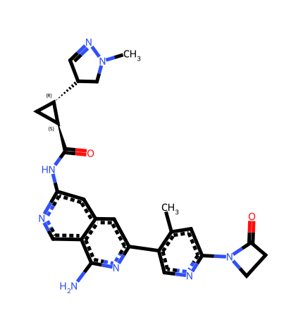 Cc1cc(N2CCC2=O)ncc1-c1cc2cc(NC(=O)[C@H]3C[C@@H]3C3C=NN(C)C3)ncc2c(N)n1